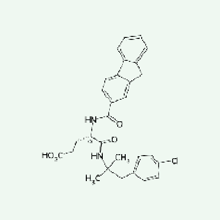 CC(C)(Cc1ccc(Cl)cc1)NC(=O)[C@H](CCC(=O)O)NC(=O)c1ccc2c(c1)Cc1ccccc1-2